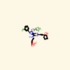 Cl.Cn1c(-c2cccc(F)c2)nc2c(NCCO)nc(C#CC3(O)CCCC3)nc21